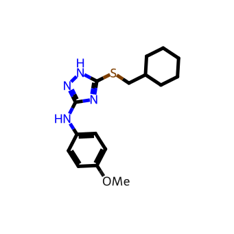 COc1ccc(Nc2n[nH]c(SCC3CCCCC3)n2)cc1